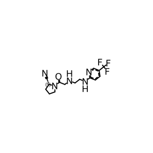 N#C[C@@H]1CCCN1C(=O)CNCCNc1ccc(C(F)(F)F)cn1